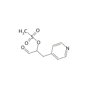 CS(=O)(=O)OC(C=O)Cc1ccncc1